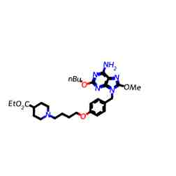 CCCCOc1nc(N)c2nc(OC)n(Cc3ccc(OCCCCN4CCC(C(=O)OCC)CC4)cc3)c2n1